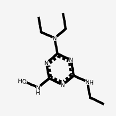 CCNc1nc(NO)nc(N(CC)CC)n1